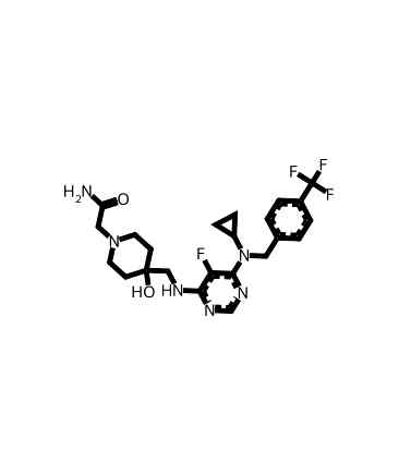 NC(=O)CN1CCC(O)(CNc2ncnc(N(Cc3ccc(C(F)(F)F)cc3)C3CC3)c2F)CC1